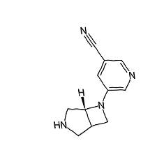 N#Cc1cncc(N2CC3CNC[C@@H]32)c1